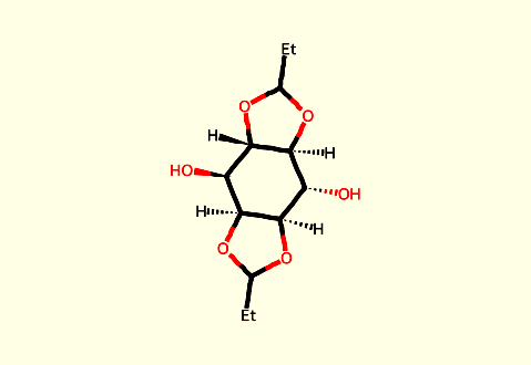 CCC1O[C@@H]2[C@@H](O)[C@@H]3OC(CC)O[C@H]3[C@H](O)[C@@H]2O1